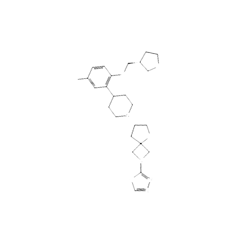 Fc1ccc(OC[C@H]2CCOC2)c(C2CCN([C@@H]3COC4(C3)CN(c3nnco3)C4)CC2)c1